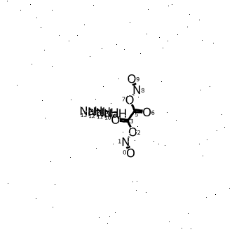 O=NOC(=O)C(=O)ON=O.[NaH].[NaH].[NaH].[NaH]